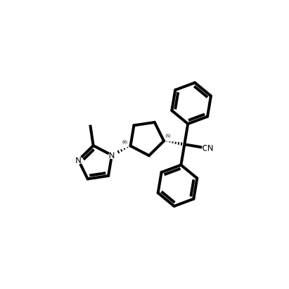 Cc1nccn1[C@@H]1CC[C@H](C(C#N)(c2ccccc2)c2ccccc2)C1